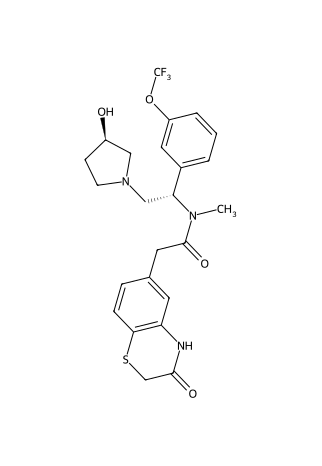 CN(C(=O)Cc1ccc2c(c1)NC(=O)CS2)[C@H](CN1CC[C@@H](O)C1)c1cccc(OC(F)(F)F)c1